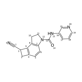 N#CC1Cc2ccc3c(c21)CCN3C(=O)Nc1cccnc1